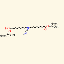 CCCCCCCCC(CCCCCC)COC(=O)CCCCCCCCCN(CCCCCCCCCC(O)OCC(CCCCCC)CCCCCCCC)CCN(C)C